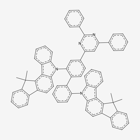 CC1(C)c2ccccc2-c2ccc3c(c21)c1ccccc1n3-c1ccccc1-c1ccc(-c2cc(-c3ccccc3)nc(-c3ccccc3)n2)cc1-n1c2ccccc2c2c3c(ccc21)-c1ccccc1C3(C)C